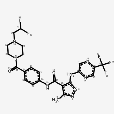 Cc1nsc(Nc2cnc(C(F)(F)F)cn2)c1C(=O)Nc1ccc(C(=O)N2CCN(CC(F)F)CC2)cc1